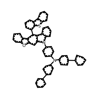 c1ccc(-c2ccc(N(c3ccc(-c4ccccc4)cc3)c3ccc(-n4c5ccccc5c5c(-c6cccc7c6sc6ccccc67)c6c(cc54)oc4ccccc46)cc3)cc2)cc1